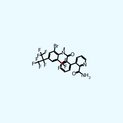 CN(C(=O)c1ccccc1-c1cccnc1C(N)=O)c1c(Br)cc(C(F)(C(F)(F)F)C(F)(F)F)cc1C(F)(F)F